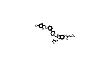 COCCC(=O)Nc1ccc2c(c1)nc(CN1CCC(c3cccc(OCc4ccc(Cl)cc4F)n3)CC1)n2C[C@@H]1CCO1